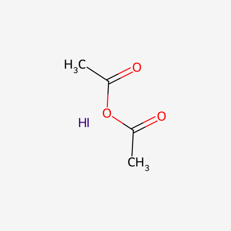 CC(=O)OC(C)=O.I